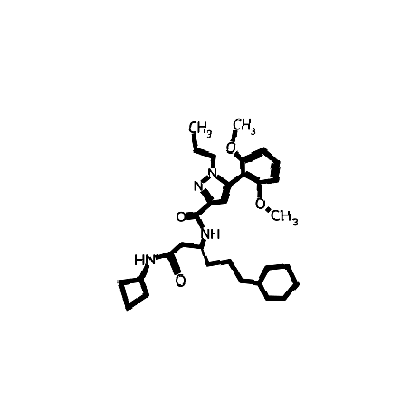 CCCn1nc(C(=O)N[C@@H](CCCC2CCCCC2)CC(=O)NC2CCC2)cc1-c1c(OC)cccc1OC